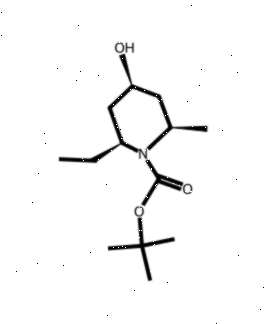 CC[C@H]1C[C@@H](O)C[C@@H](C)N1C(=O)OC(C)(C)C